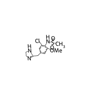 COc1cc(CC2=NCCN2)cc(Cl)c1NS(C)(=O)=O